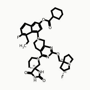 CCc1c(F)ccc2cc(OC(=O)C3CCCCC3)cc(N3CCc4c(nc(OC[C@@]56CCCN5C[C@H](F)C6)nc4N4CCC[C@]5(C4)NC(=O)NC5=O)C3)c12